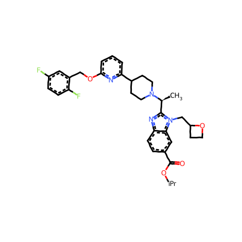 CC(C)OC(=O)c1ccc2nc([C@H](C)N3CCC(c4cccc(OCc5cc(F)ccc5F)n4)CC3)n(CC3CCO3)c2c1